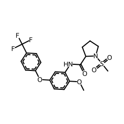 COc1ccc(Oc2ccc(C(F)(F)F)cc2)cc1NC(=O)C1CCCN1S(C)(=O)=O